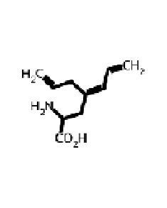 C=C/C=C(\CC=C)CC(N)C(=O)O